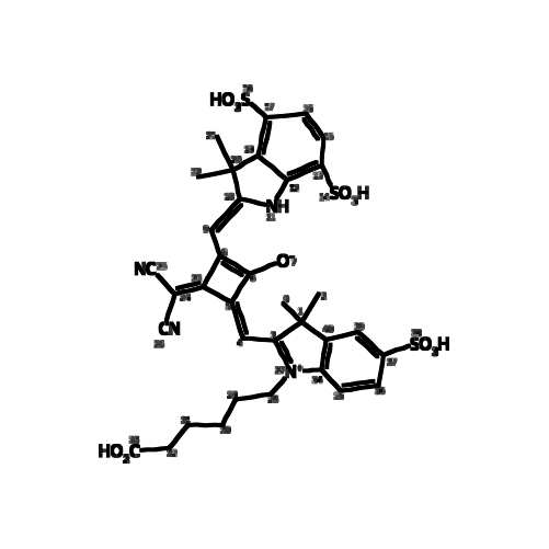 CC1(C)C(C=C2C([O-])=C(C=C3Nc4c(S(=O)(=O)O)ccc(S(=O)(=O)O)c4C3(C)C)C2=C(C#N)C#N)=[N+](CCCCCC(=O)O)c2ccc(S(=O)(=O)O)cc21